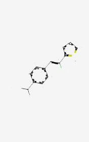 CC(C=O)c1ccc(/C=C(\Cl)c2cccs2)cc1